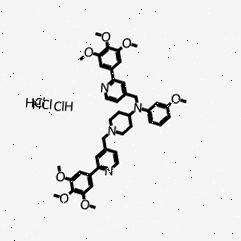 COc1cccc(N(Cc2ccnc(-c3cc(OC)c(OC)c(OC)c3)c2)C2CCN(Cc3ccnc(-c4cc(OC)c(OC)c(OC)c4)c3)CC2)c1.Cl.Cl.Cl